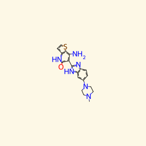 CN1CCN(c2ccc3nc(-c4c(N)c5sccc5[nH]c4=O)[nH]c3c2)CC1